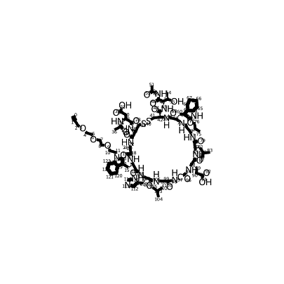 C#CCOCCOCCOCCn1cc(C[C@@H]2NC(=O)[C@H](C)NC(=O)[C@@H](NC(=O)C(CC(=O)O)NC(C)=O)CSSC[C@@H](C(=O)N[C@H](C(=O)NC(C)=O)[C@@H](C)O)NC(=O)[C@H](Cc3c[nH]c4ccccc34)NC(=O)[C@H](C(C)C)NC(=O)[C@H](CC(C)C)NC(=O)[C@H](CCC(=O)O)NC(=O)CNC(=O)[C@H](CC(C)C)NC(=O)[C@H](Cc3cnc[nH]3)NC2=O)c2ccccc21